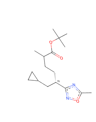 Cc1nc([C@@H](CCC(C)C(=O)OC(C)(C)C)CC2CC2)no1